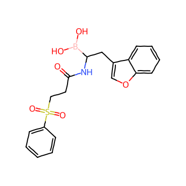 O=C(CCS(=O)(=O)c1ccccc1)NC(Cc1coc2ccccc12)B(O)O